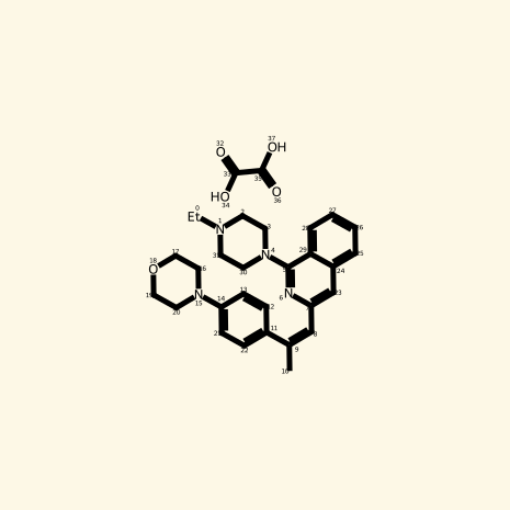 CCN1CCN(c2nc(C=C(C)c3ccc(N4CCOCC4)cc3)cc3ccccc23)CC1.O=C(O)C(=O)O